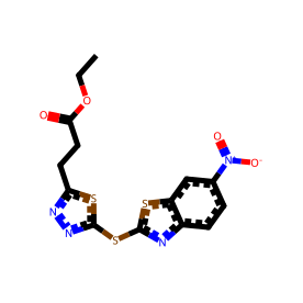 CCOC(=O)CCc1nnc(Sc2nc3ccc([N+](=O)[O-])cc3s2)s1